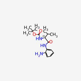 CC(C)[C@H](NC(=O)OC(C)(C)C)C(=O)Nc1ccccc1N